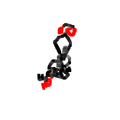 C[C@]12CC=C3[C@@H](CC[C@@]45CC6(CC[C@@]34C5)OCCO6)[C@@H]1CCC2O